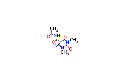 CC(=O)Nc1onc2c1c(=O)n(C)c(=O)n2C